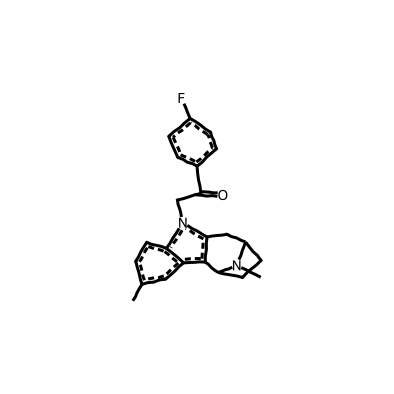 Cc1ccc2c(c1)c1c(n2CC(=O)c2ccc(F)cc2)CC2CCC1N2C